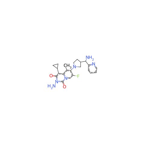 Cc1c(N2CCC(C(N)c3ccccn3)C2)c(F)cn2c(=O)n(N)c(=O)c(C3CC3)c12